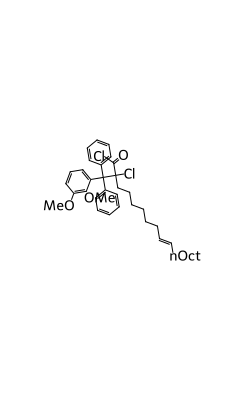 CCCCCCCCC=CCCCCCCC(Cl)(C(=O)Cl)C(c1ccccc1)(c1ccccc1)c1cccc(OC)c1OC